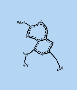 CSc1ncc2cc(CO)nc(NC(C)C)c2n1